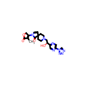 CC1=C(N2C=CC3(CCN(C[C@H](O)c4cnc(-n5cnnn5)cn4)CC3)C2=O)COC1=O